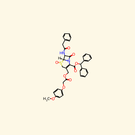 COc1ccc(OCC(=O)OCC2=C(C(=O)OC(c3ccccc3)c3ccccc3)N3C(=O)C(NC(=O)Cc4ccccc4)[C@H]3[S+]([O-])C2)cc1